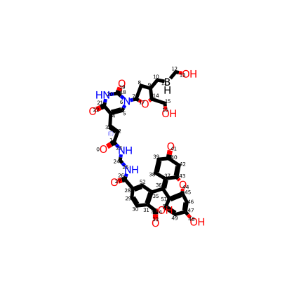 O=C(/C=C/c1cn(C2CC(CBCO)C(CO)O2)c(=O)[nH]c1=O)NCNC(=O)c1ccc(C(=O)O)c(-c2c3ccc(=O)cc-3oc3cc(O)ccc23)c1